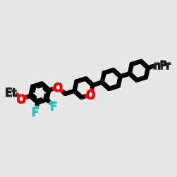 CCCC1CCC(C2CCC(C3CCC(COc4ccc(OCC)c(F)c4F)CO3)CC2)CC1